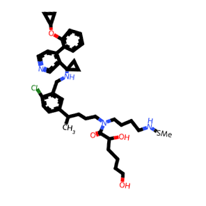 CSNCCCCN(CCCC(C)c1ccc(Cl)c(CNC2(c3cnccc3-c3ccccc3OC3CC3)CC2)c1)C(=O)C(O)CCCCO